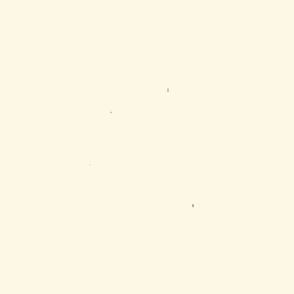 CCCOc1c(O)c(C(=O)O)c(Br)c(Br)c1Br